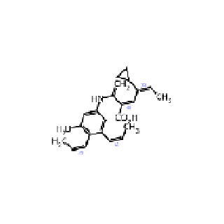 Bc1cc(NC(=C)/C(=C\C(=C/C)C2CC2)C(=O)O)cc(/C=C\C)c1/C=C\C